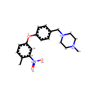 Cc1ccc(Oc2ccc(CN3CCN(C)CC3)cc2)cc1[N+](=O)[O-]